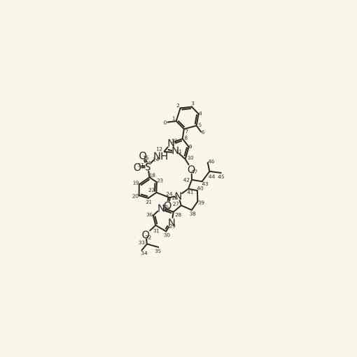 Cc1cccc(C)c1-c1cc2nc(n1)NS(=O)(=O)c1cccc(c1)C(=O)N1C(c3ncc(OC(C)C)cn3)CCCC1C(CC(C)C)O2